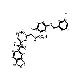 CC(C)CN(C[C@H](O)[C@H](Cc1ccc(OCc2cccc(F)c2)cc1)NC(=O)O)S(=O)(=O)c1ccc2c(c1)OCO2